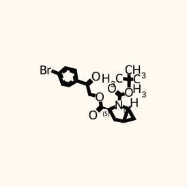 CC(C)(C)OC(=O)N1[C@@H]2CC2C[C@H]1C(=O)OCC(=O)c1ccc(Br)cc1